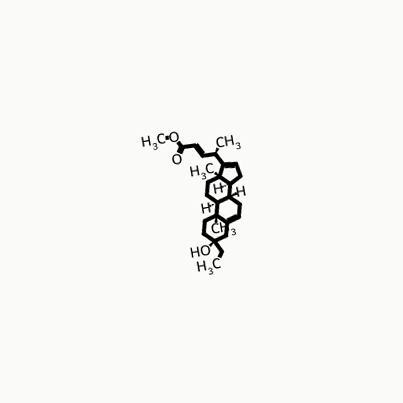 CC[C@]1(O)CC[C@@]2(C)C(=CC[C@@H]3[C@@H]2CC[C@]2(C)C([C@H](C)/C=C/C(=O)OC)=CC[C@@H]32)C1